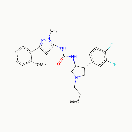 COCCN1C[C@@H](NC(=O)Nc2cc(-c3ccccc3OC)nn2C)[C@H](c2ccc(F)c(F)c2)C1